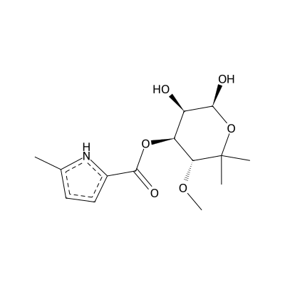 CO[C@@H]1[C@@H](OC(=O)c2ccc(C)[nH]2)[C@@H](O)[C@@H](O)OC1(C)C